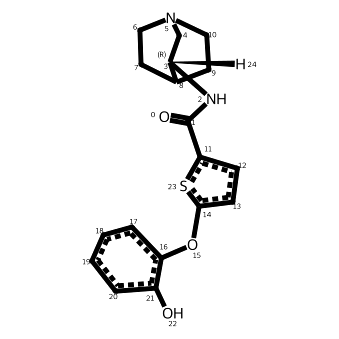 O=C(N[C@H]1CN2CCC1CC2)c1ccc(Oc2ccccc2O)s1